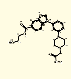 COC(=O)CN1CCN(c2cccc(-n3cnc4cc(C(=O)OCCO)ccc43)c2)CC1